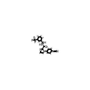 N#Cc1ccc(-n2ccnc2C(=O)NNc2cccc(C(F)(F)F)c2)cc1